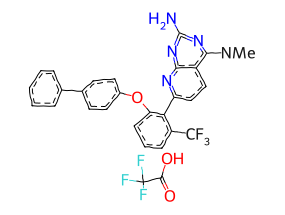 CNc1nc(N)nc2nc(-c3c(Oc4ccc(-c5ccccc5)cc4)cccc3C(F)(F)F)ccc12.O=C(O)C(F)(F)F